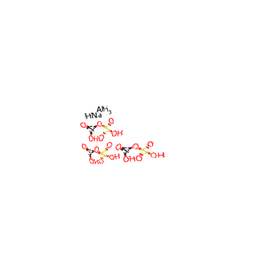 O=[Si](O)OS(=O)(=O)O.O=[Si](O)OS(=O)(=O)O.O=[Si](O)OS(=O)(=O)O.[AlH3].[NaH]